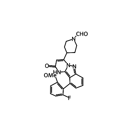 COc1cccc(F)c1-c1cccc2nn3c(C4CCN(C=O)CC4)cc(=O)[nH]c3c12